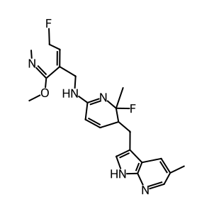 C/N=C(OC)\C(=C/CF)CNC1=NC(C)(F)C(Cc2c[nH]c3ncc(C)cc23)C=C1